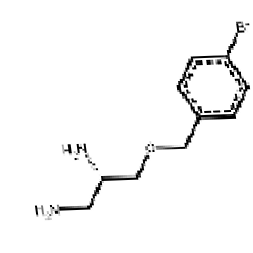 NC[C@H](N)COCc1ccc(Br)cc1